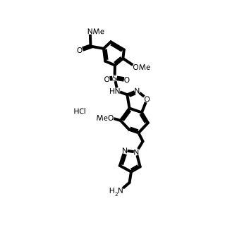 CNC(=O)c1ccc(OC)c(S(=O)(=O)Nc2noc3cc(Cn4cc(CN)cn4)cc(OC)c23)c1.Cl